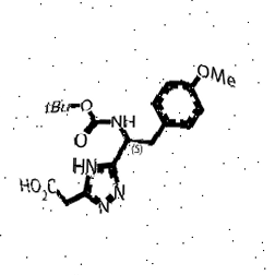 COc1ccc(C[C@H](NC(=O)OC(C)(C)C)c2nnc(CC(=O)O)[nH]2)cc1